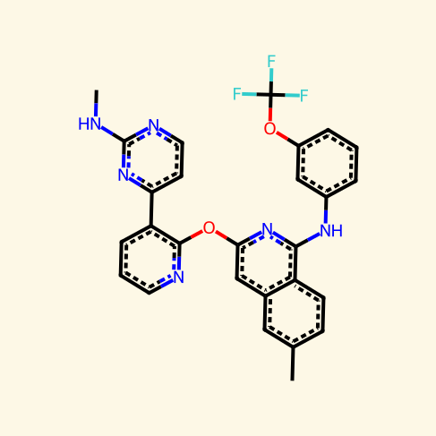 CNc1nccc(-c2cccnc2Oc2cc3cc(C)ccc3c(Nc3cccc(OC(F)(F)F)c3)n2)n1